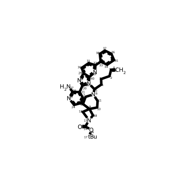 C=CCCCC(N1CCC2(CC1)CN(C(=O)OC(C)(C)C)C2)n1c(-c2cccnc2N)nc2ccc(-c3ccccc3)nc21